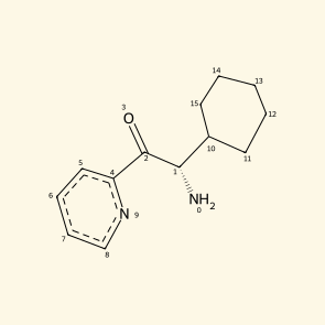 N[C@H](C(=O)c1ccccn1)C1CCCCC1